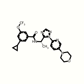 C[C@H](NC(=O)c1cc(OC(F)(F)F)cc(C2CC2)c1)c1ncnn1-c1ccc(N2CCOCC2)cn1